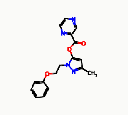 Cc1cc(OC(=O)c2cnccn2)n(CCOc2ccccc2)n1